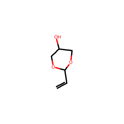 C=CC1OCC(O)CO1